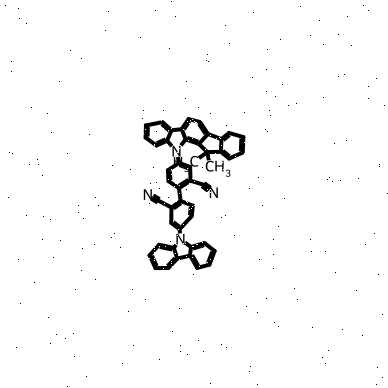 CC1(C)c2ccccc2-c2ccc3c4ccccc4n(-c4ccc(-c5ccc(-n6c7ccccc7c7ccccc76)cc5C#N)c(C#N)c4)c3c21